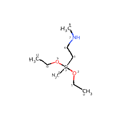 CCO[Si](C)(CCNC)OCC